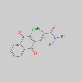 CCC/C(=C\C1=C(Cl)C(=O)c2ccccc2C1=O)C(=O)N(CC)CC